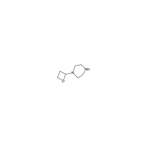 C1CN(C2CCO2)CCN1